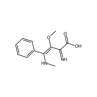 CN/C(=C(/OC)C(=N)C(=O)O)c1ccccc1